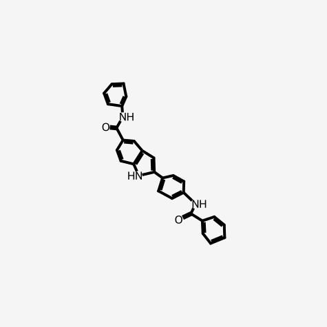 O=C(Nc1ccc(-c2cc3cc(C(=O)Nc4ccccc4)ccc3[nH]2)cc1)c1ccccc1